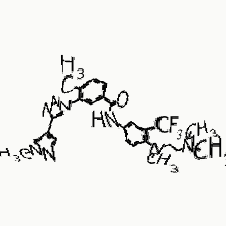 Cc1ccc(C(=O)Nc2ccc(N(C)CCN(C)C)c(C(F)(F)F)c2)cc1-n1cc(-c2cnn(C)c2)nn1